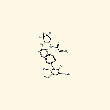 C=CC(=O)N[C@H]1C[C@@H]2C[C@@H]2[C@H]1Nc1ncc2cc(-c3c(Cl)c(OC)cc(OC)c3Cl)ccc2n1